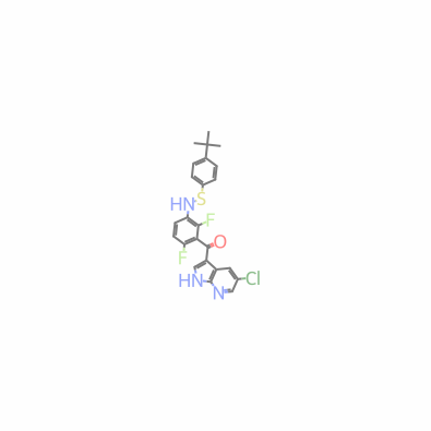 CC(C)(C)c1ccc(SNc2ccc(F)c(C(=O)c3c[nH]c4ncc(Cl)cc34)c2F)cc1